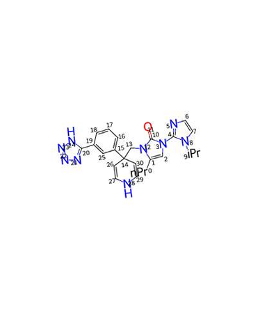 CCCc1cn(-c2nccn2C(C)C)c(=O)n1CC1(c2cccc(-c3nnn[nH]3)c2)C=CNC=C1